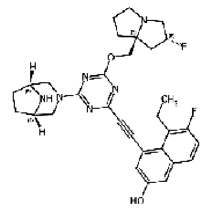 CCc1c(F)ccc2cc(O)cc(C#Cc3nc(OC[C@@]45CCCN4C[C@H](F)C5)nc(N4C[C@H]5CC[C@@H](C4)N5)n3)c12